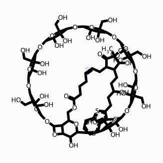 CC1(C)C(=O)C(C/C=C\CCCC(=O)OCC2OC3OC4C(CO)OC(OC5C(CO)OC(OC6C(CO)OC(OC7C(CO)OC(OC8C(CO)OC(OC9C(CO)OC(OC%10C(CO)OC(OC%11OC(C3O)C2%11)C(O)C%10O)C(O)C9O)C(O)C8O)C(O)C7O)C(O)C6O)C(O)C5O)C(O)C4O)C(CCC(O)CCc2sc3ccccc3c2Cl)C1O